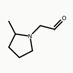 CC1CCCN1C[C]=O